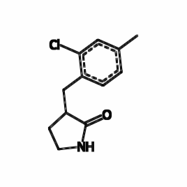 Cc1ccc(CC2CCNC2=O)c(Cl)c1